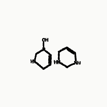 C1=CNCNC1.ON1C=CCNC1